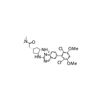 COc1cc(OC)c(Cl)c(-c2ccc3nc(NC4C[C@H](CC(=O)N(C)C)C[C@@H]4N)ncc3c2)c1Cl